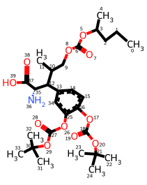 CCCC(C)OC(=O)OCC(C)C(c1ccc(OC(=O)OC(C)(C)C)c(OC(=O)OC(C)(C)C)c1)[C@H](N)C(=O)O